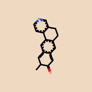 CC1C=c2cc3c(cc2=CC1=O)CCc1cnccc1-3